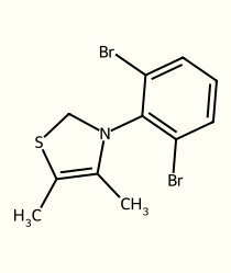 CC1=C(C)N(c2c(Br)cccc2Br)CS1